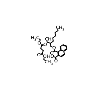 CCCCCCC(CC)COC(=O)c1c(C(=O)O)ccc2ccccc12.CCOC(=O)CCC(=O)OCC